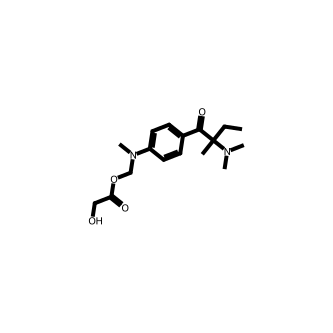 CCC(C)(C(=O)c1ccc(N(C)COC(=O)CO)cc1)N(C)C